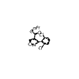 CCCOC(=O)c1conc1-c1c(Cl)cccc1Cl